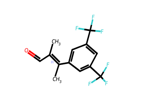 C/C(C=O)=C(/C)c1cc(C(F)(F)F)cc(C(F)(F)F)c1